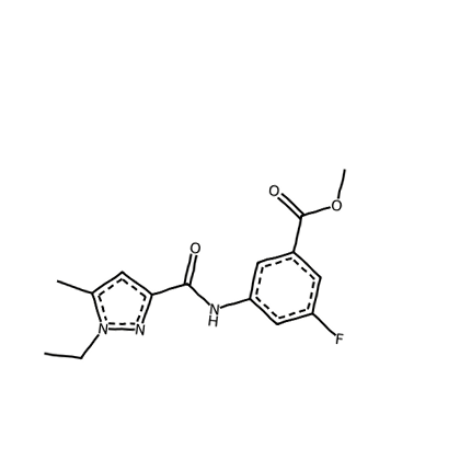 CCn1nc(C(=O)Nc2cc(F)cc(C(=O)OC)c2)cc1C